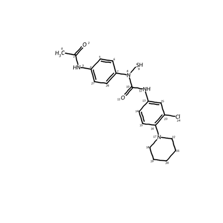 CC(=O)Nc1ccc(N(S)C(=O)Nc2ccc(N3CCCCC3)c(Cl)c2)cc1